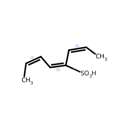 C\C=C/C=C(\C=C/C)S(=O)(=O)O